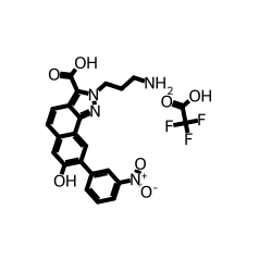 NCCCn1nc2c(ccc3cc(O)c(-c4cccc([N+](=O)[O-])c4)cc32)c1C(=O)O.O=C(O)C(F)(F)F